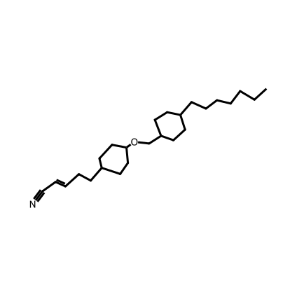 CCCCCCCC1CCC(COC2CCC(CCC=CC#N)CC2)CC1